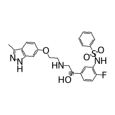 Cc1n[nH]c2cc(OCCNC[C@H](O)c3ccc(F)c(NS(=O)(=O)c4ccccc4)c3)ccc12